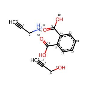 C#CCN.C#CCO.O=C(O)c1ccccc1C(=O)O